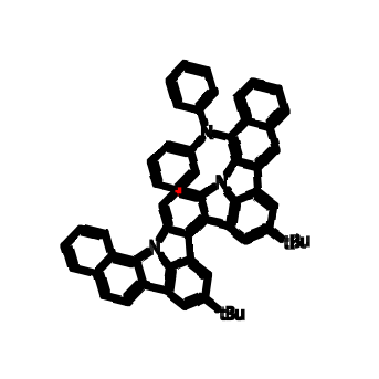 CC(C)(C)c1cc2c3cc4ccccc4c(N(c4ccccc4)c4ccccc4)c3n3c4ccc5c(c6cc(C(C)(C)C)cc7c8ccc9ccccc9c8n5c76)c4c(c1)c23